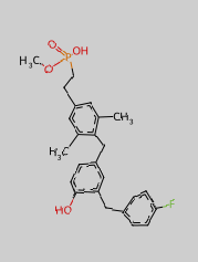 COP(=O)(O)CCc1cc(C)c(Cc2ccc(O)c(Cc3ccc(F)cc3)c2)c(C)c1